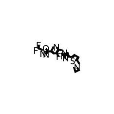 Fc1cc(-c2nnc(C(F)F)o2)cnc1Cn1cc(-c2ccc(CN3CCC3)s2)nn1